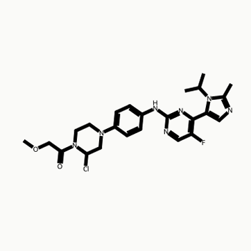 COCC(=O)N1CCN(c2ccc(Nc3ncc(F)c(-c4cnc(C)n4C(C)C)n3)cc2)CC1Cl